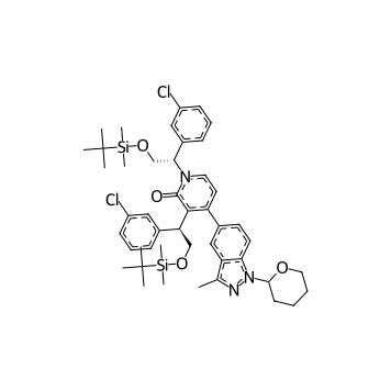 Cc1nn(C2CCCCO2)c2ccc(-c3ccn([C@H](CO[Si](C)(C)C(C)(C)C)c4cccc(Cl)c4)c(=O)c3[C@@H](CO[Si](C)(C)C(C)(C)C)c3cccc(Cl)c3)cc12